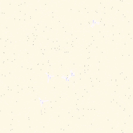 COc1cc(-c2cccnc2)ccc1-c1nnc(N(C)C2CC(C)(C)N(I)C(C)(C)C2)s1